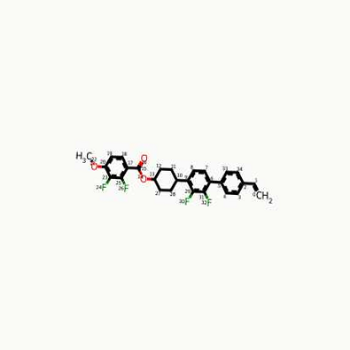 C=Cc1ccc(-c2ccc(C3CCC(OC(=O)c4ccc(OC)c(F)c4F)CC3)c(F)c2F)cc1